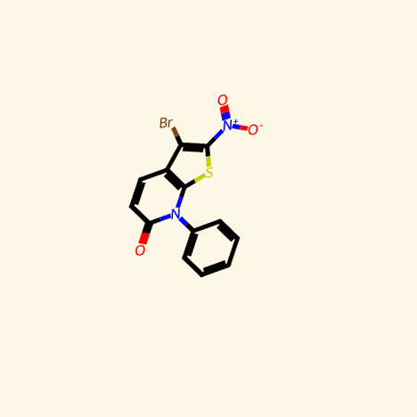 O=c1ccc2c(Br)c([N+](=O)[O-])sc2n1-c1ccccc1